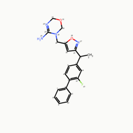 CC(c1ccc(-c2ccccc2)c(F)c1)c1cc(CN2COCN=C2N)on1